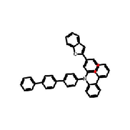 c1ccc(-c2ccc(-c3ccc(N(c4cccc(-c5cc6ccccc6o5)c4)c4ccccc4-c4ccccc4)cc3)cc2)cc1